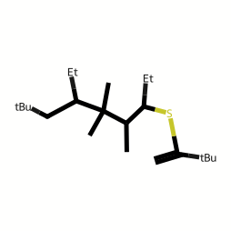 C=C(SC(CC)C(C)C(C)(C)C(CC)CC(C)(C)C)C(C)(C)C